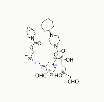 C/C(=C\C=C\[C@@H](C)COC(=O)N1CC2CC2C1)[C@@H](C=O)[C@@H](C)/C=C/[C@H](OC(=O)N1CCN(C2CCCCCC2)CC1)[C@@](C)(O)CC[C@H](O)CC=O